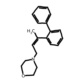 CC(=CCN1CCOCC1)c1ccccc1-c1ccccc1